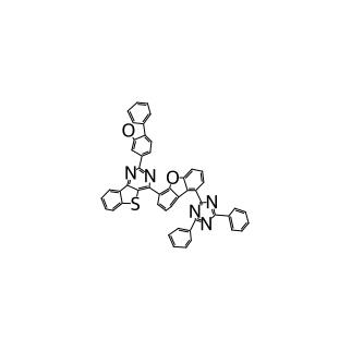 c1ccc(-c2nc(-c3ccccc3)nc(-c3cccc4oc5c(-c6nc(-c7ccc8c(c7)oc7ccccc78)nc7c6sc6ccccc67)cccc5c34)n2)cc1